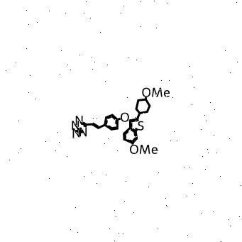 COc1ccc2c(Oc3ccc(/C=C/c4nnn(C)n4)cc3)c(C3CCC(OC)CC3)sc2c1